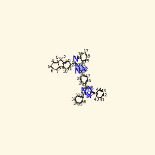 CC1(C)c2ccccc2-c2ccc(-c3nc4ccccc4c4nc(-c5ccc(-c6nc(-c7ccccc7)nc(-c7ccccc7)n6)cc5)nn34)cc21